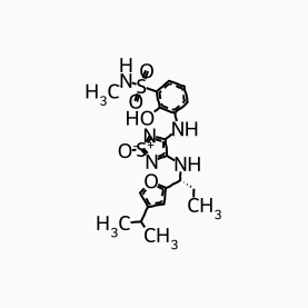 CC[C@@H](Nc1n[s+]([O-])nc1Nc1cccc(S(=O)(=O)NC)c1O)c1cc(C(C)C)co1